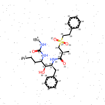 CC(C)CCC(NC(=O)NC(C)(C)C)[C@H](O)[C@H](Cc1ccccc1)NC(=O)[C@H](C)CS(=O)(=O)CCc1ccccc1